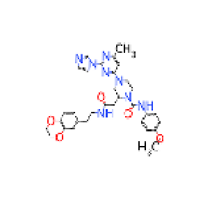 COc1ccc(NC(=O)N2CCN(c3cc(C)nc(-n4ccnc4)n3)CC2CC(=O)NCCc2ccc3c(c2)OCCO3)cc1